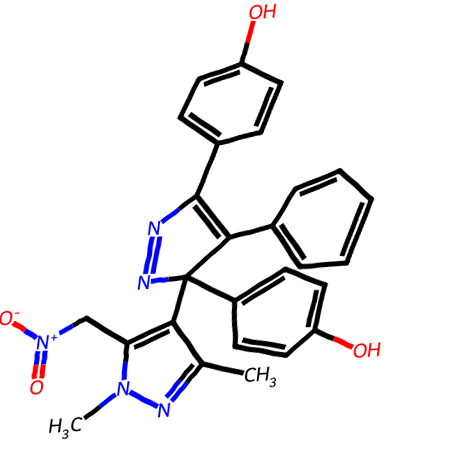 Cc1nn(C)c(C[N+](=O)[O-])c1C1(c2ccc(O)cc2)N=NC(c2ccc(O)cc2)=C1c1ccccc1